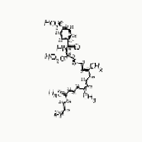 C/C(=C\CSCC(NC(=O)c1ccc(C(=O)O)cc1)C(=O)O)CCCC(C)CCCC(C)CCCC(C)C